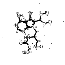 CCOC(OCC)c1c(Br)c2c(N)ncnc2n1CC(COC)NC(=O)OC(C)(C)C